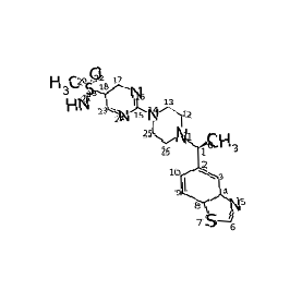 C[C@@H](C1=CC2N=CSC2C=C1)N1CCN(C2=NCC([S@@](C)(=N)=O)C=N2)CC1